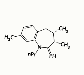 CCCN1C(=P)[C@@H](C)[C@@H](C)Cc2ccc(C)cc21